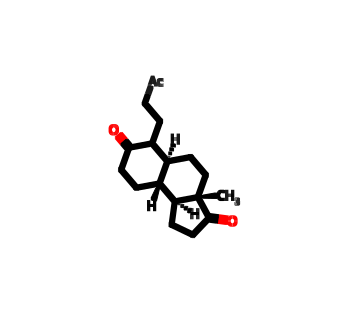 CC(=O)CCC1C(=O)CC[C@@H]2[C@@H]1CC[C@]1(C)C(=O)CC[C@@H]21